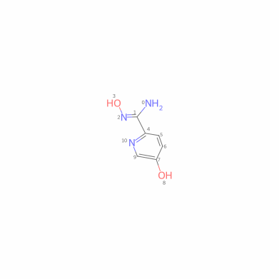 N/C(=N\O)c1ccc(O)cn1